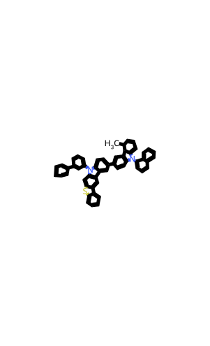 CC1C=CC=C2C1c1cc(-c3ccc4c(c3)c3cc5c(cc3n4-c3cccc(-c4ccccc4)c3)sc3ccccc35)ccc1N2c1cccc2ccccc12